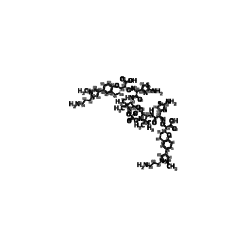 C[n+]1cc(-c2ccc3c(c2)CC[C@@H]([C@@H](O/N=C(\C(=O)N[C@@H]2C(=O)N(OS(=O)(=O)ON4C(=O)[C@@H](NC(=O)/C(=N\O[C@@H](C(=O)O)[C@@H]5CCc6cc(-c7cn(CCCN)[n+](C)c7)ccc6O5)c5csc(N)n5)C4(C)C)C2(C)C)c2csc(N)n2)C(=O)O)O3)cn1CCCN